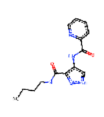 N#CCCCNC(=O)c1n[nH]cc1NC(=O)c1ccccn1